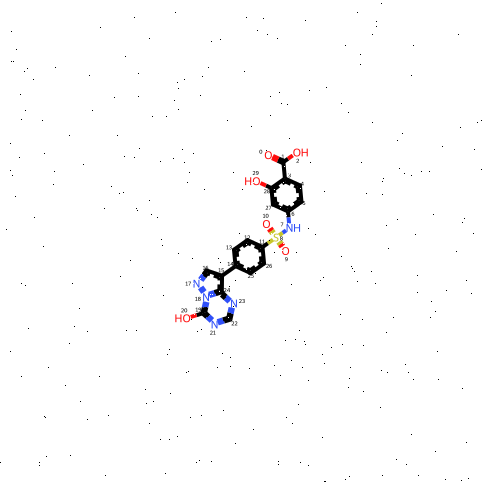 O=C(O)c1ccc(NS(=O)(=O)c2ccc(-c3cnn4c(O)ncnc34)cc2)cc1O